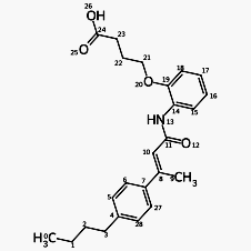 CCCCc1ccc(C(C)=CC(=O)Nc2ccccc2OCCCC(=O)O)cc1